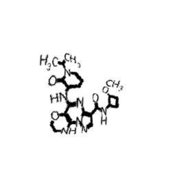 CO[C@H]1CCC1NC(=O)c1cnn2c3c(c(Nc4cccn(C(C)C)c4=O)nc12)OCCN3